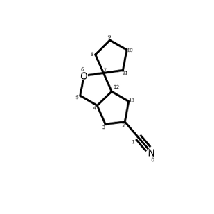 N#CC1CC2COC3(CCCC3)C2C1